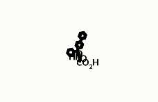 O=C(O)C(=O)NOC(c1ccc(-c2ccccc2)cc1)C1CCCCC1